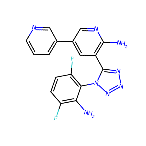 Nc1ncc(-c2cccnc2)cc1-c1nnnn1-c1c(F)ccc(F)c1N